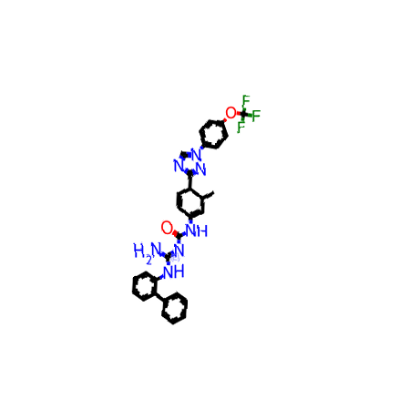 CC1C=C(NC(=O)/N=C(\N)Nc2ccccc2-c2ccccc2)C=CC1c1ncn(-c2ccc(OC(F)(F)F)cc2)n1